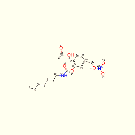 CC(=O)O.CCCCCCCNC(=O)Oc1cccc(CO[N+](=O)[O-])c1